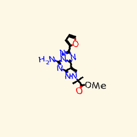 COC(=O)C(C)(C)n1cc2c(nc(N)n3nc(-c4ccco4)nc23)n1